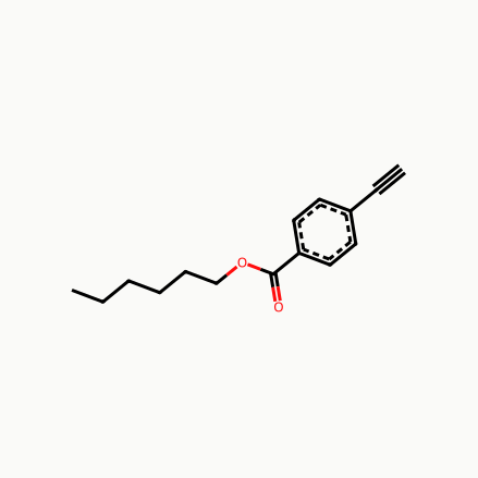 C#Cc1ccc(C(=O)OCCCCCC)cc1